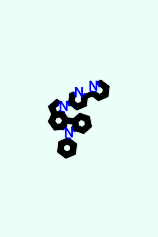 c1ccc(-n2c3ccccc3c3c4c(ccc32)ccn4-c2ccc(-c3ccccn3)nc2)cc1